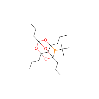 CCCC12CC3(CCC)OC(CCC)(O1)OC(CCC)(O2)P3C(C)(C)C